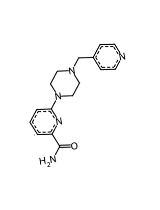 NC(=O)c1[c]ccc(N2CCN(Cc3ccncc3)CC2)n1